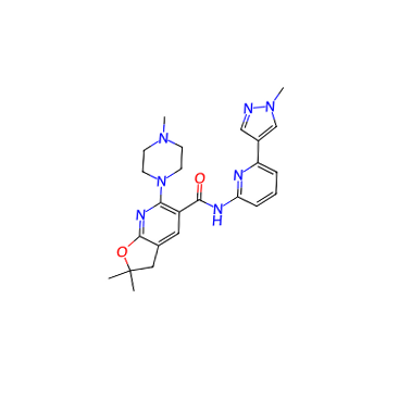 CN1CCN(c2nc3c(cc2C(=O)Nc2cccc(-c4cnn(C)c4)n2)CC(C)(C)O3)CC1